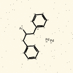 CC(=O)C(Cc1ccccc1)Cc1ccccc1.[Pd].[Pd]